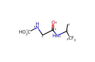 CC(NC(=O)CNC(=O)O)C(F)(F)F